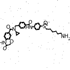 NCCCCCC[S+]([O-])c1ccc(NC(=O)c2ccc(CN(C(=O)c3ccc4c(c3)OCC(=O)N4)C3CC3)cc2)cc1